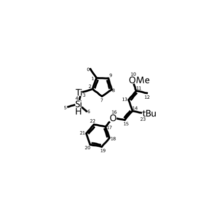 CC1=[C]([Ti][SiH](C)C)CC=C1.COC(C)=CC(=COc1ccccc1)C(C)(C)C